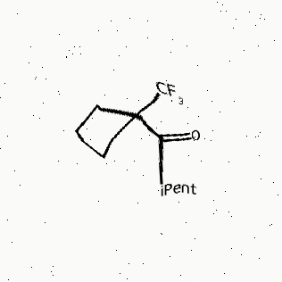 CCCC(C)C(=O)C1(C(F)(F)F)CCC1